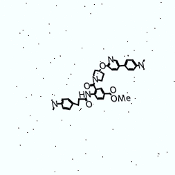 COC(=O)c1ccc(NC(=O)CCc2ccc(N(C)C)cc2)c(C(=O)N2CCC(Oc3ccc(-c4ccc(N(C)C)cc4)cn3)CC2)c1